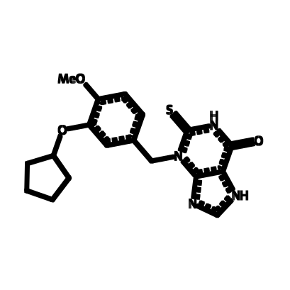 COc1ccc(Cn2c(=S)[nH]c(=O)c3[nH]cnc32)cc1OC1CCCC1